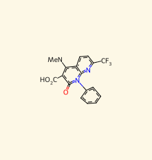 CNc1c(C(=O)O)c(=O)n(-c2ccccc2)c2nc(C(F)(F)F)ccc12